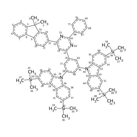 CC1(C)c2ccccc2-c2ccc(-c3cc(-c4cc(-n5c6ccc([Si](C)(C)C)cc6c6cc([Si](C)(C)C)ccc65)cc(-n5c6ccc([Si](C)(C)C)cc6c6cc([Si](C)(C)C)ccc65)c4)nc(-c4ccccc4)n3)cc21